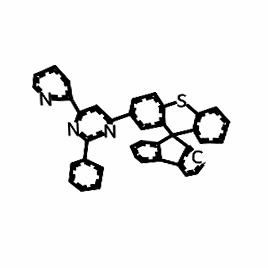 c1ccc(-c2nc(-c3ccc4c(c3)C3(c5ccccc5S4)c4ccccc4-c4ccccc43)cc(-c3ccccn3)n2)cc1